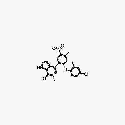 Cc1cc(Cl)ccc1Oc1cc(C)c([N+](=O)[O-])cc1-c1cn(C)c(=O)c2[nH]ccc12